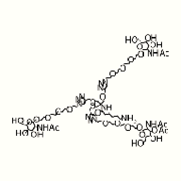 CC(=O)N[C@H]1[C@H](OCCOCCOCCOCCn2cc(COCC(COCc3cn(CCOCCOCCOCCO[C@@H]4O[C@H](CO)[C@H](O)[C@H](O)[C@H]4NC(C)=O)nn3)(COCc3cn(CCOCCOCCOCCO[C@@H]4O[C@H](CO)[C@H](O)[C@H](OC(C)=O)[C@H]4NC(C)=O)nn3)NC(=O)CCCCCN)nn2)O[C@H](CO)[C@H](O)[C@@H]1O